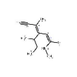 CCC(C)C(/C=C(/Br)NC)=C(/C)C#N